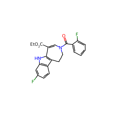 CCOC(=O)C1=CN(C(=O)c2ccccc2F)CCc2c1[nH]c1cc(F)ccc21